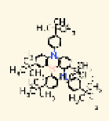 CC(C)(C)c1ccc(N2c3ccc(C(C)(C)C)cc3B3c4cc(C(C)(C)C)ccc4N(c4ccc(C(C)(C)C)cc4)c4c([Si](C)(C)C)ccc2c43)cc1